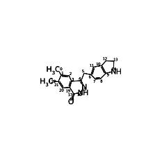 Cc1cc2c(Cc3ccc4c(c3)CCN4)n[nH]c(=O)c2cc1C